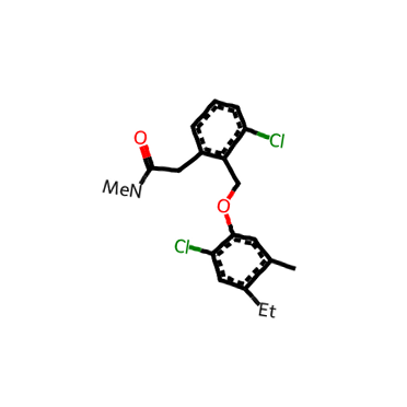 CCc1cc(Cl)c(OCc2c(Cl)cccc2CC(=O)NC)cc1C